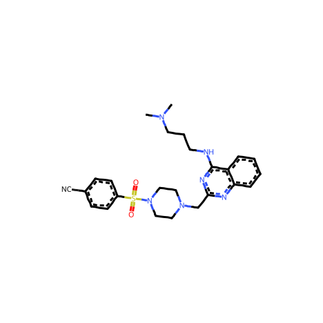 CN(C)CCCNc1nc(CN2CCN(S(=O)(=O)c3ccc(C#N)cc3)CC2)nc2ccccc12